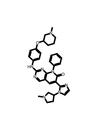 CN1CCCC(Oc2ccc(Nc3ncc4cc(-c5nccn5C5CCN(C)C5)c(=O)n(-c5ccccc5)c4n3)cc2)C1